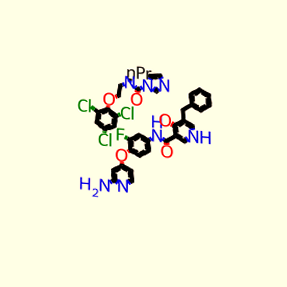 CCCN(CCOc1c(Cl)cc(Cl)cc1Cl)C(=O)n1ccnc1.Nc1cc(Oc2ccc(NC(=O)c3c[nH]cc(Cc4ccccc4)c3=O)cc2F)ccn1